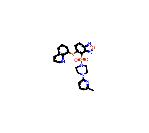 Cc1cccc(N2CCN(S(=O)(=O)c3c(Sc4cccc5cccnc45)ccc4nonc34)CC2)n1